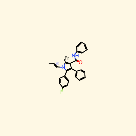 C/C=C/n1c(-c2ccc(F)cc2)c(-c2ccccc2)c(C(=O)Nc2ccccc2)c1C(C)C